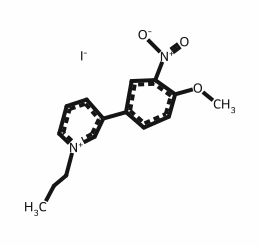 CCC[n+]1cccc(-c2ccc(OC)c([N+](=O)[O-])c2)c1.[I-]